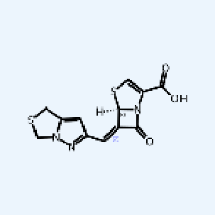 O=C(O)C1=CS[C@@H]2/C(=C\c3cc4n(n3)CSC4)C(=O)N12